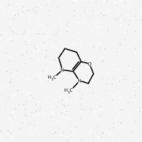 CN1CCCC2=C1N(C)CCO2